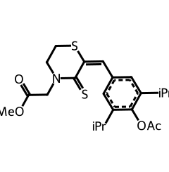 COC(=O)CN1CCSC(=Cc2cc(C(C)C)c(OC(C)=O)c(C(C)C)c2)C1=S